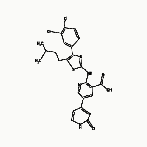 CC(C)CCc1sc(Nc2ncc(-c3cc[nH]c(=O)c3)cc2C(=O)O)nc1-c1ccc(Cl)c(Cl)c1